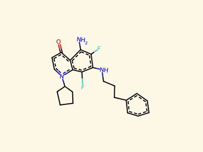 Nc1c(F)c(NCCCc2ccccc2)c(F)c2c1c(=O)ccn2C1CCCC1